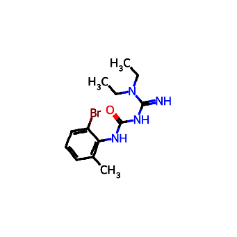 CCN(CC)C(=N)NC(=O)Nc1c(C)cccc1Br